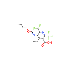 CCCCOC=Nc1c(C(F)F)nc(C(F)(F)F)c(C(=O)O)c1CC